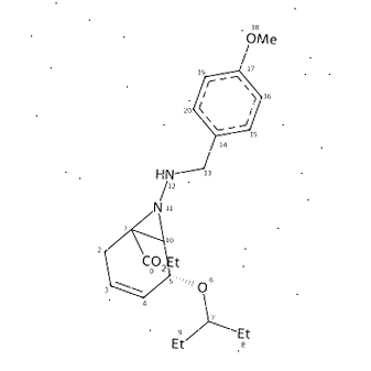 CCOC(=O)C12CC=C[C@@H](OC(CC)CC)C1N2NCc1ccc(OC)cc1